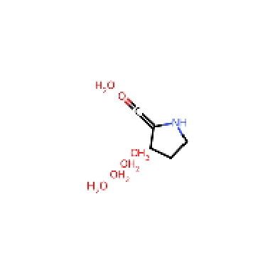 O.O.O.O.O.O=C=C1CCCN1